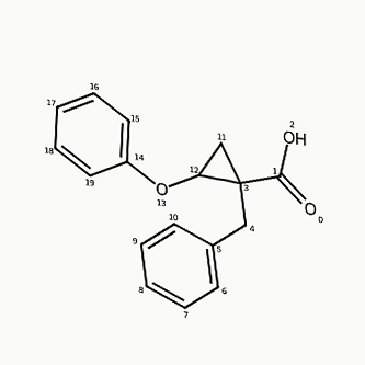 O=C(O)C1(Cc2ccccc2)CC1Oc1ccccc1